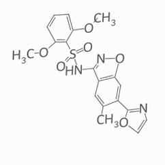 COc1cccc(OC)c1S(=O)(=O)Nc1noc2cc(-c3ncco3)c(C)cc12